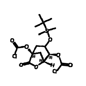 CC(C)(C)[Si](C)(C)OC1C[C@]2(OC(=O)Cl)C[C@@H](OC2=O)[C@@H]1OC(=O)Cl